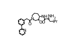 CC(C)C[C@H](N)C(=O)NC1CCCN(C(=O)Cc2cccc(-c3ccccn3)c2)CC1=O